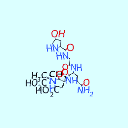 CC(C)(NC(=O)[C@H](CC(=O)O)NC(=O)[C@H](CCC(N)=O)NC(=O)CNC(=O)[C@@H]1C[C@@H](O)CN1)C(=O)O